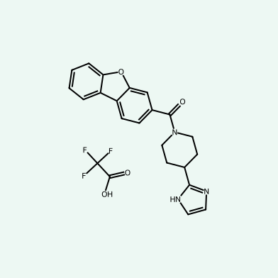 O=C(O)C(F)(F)F.O=C(c1ccc2c(c1)oc1ccccc12)N1CCC(c2ncc[nH]2)CC1